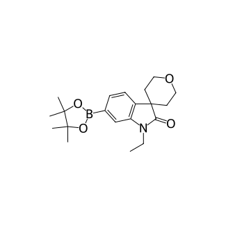 CCN1C(=O)C2(CCOCC2)c2ccc(B3OC(C)(C)C(C)(C)O3)cc21